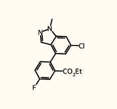 CCOC(=O)c1cc(F)ccc1-c1cc(Cl)cc2c1cnn2C